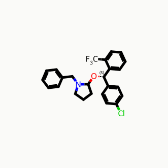 FC(F)(F)c1ccccc1[C@@H](OC1CCCN1Cc1ccccc1)c1ccc(Cl)cc1